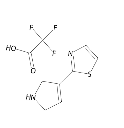 C1=C(c2nccs2)CNC1.O=C(O)C(F)(F)F